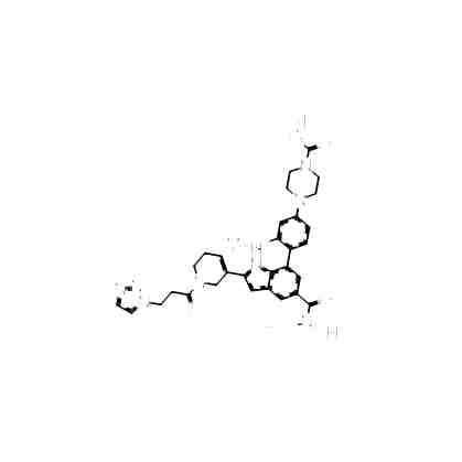 COc1cc(N2CCN(C(=O)OC(C)(C)C)CC2)ccc1-c1cc(C(=O)N(C)C)cc2cc(C3=CCCN(C(=O)CCn4ccnn4)C3)[nH]c12